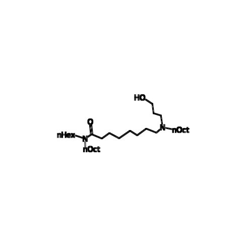 CCCCCCCCN(CCCO)CCCCCCCC(=O)N(CCCCCC)CCCCCCCC